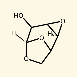 OC1C2O[C@H]2C2CO[C@@H]1O2